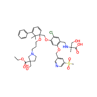 CCOC(=O)C1(CO)CCN(CCCOC2(COc3cc(OCc4cncc(S(C)(=O)=O)c4)c(CNC(C)(CO)C(=O)O)cc3Cl)C=CC=C(c3ccccc3)C2(C)C)C1